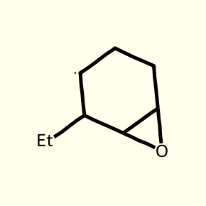 CCC1[CH]CCC2OC12